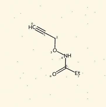 C#CCONC(=O)CC